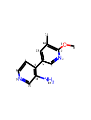 COc1ncc(-c2ccncc2N)cc1C